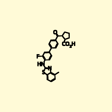 Cc1cccc2sc(Nc3ccc(-c4ccc(C(=O)C5CCC[C@H]5C(=O)O)cc4)cc3F)nc12